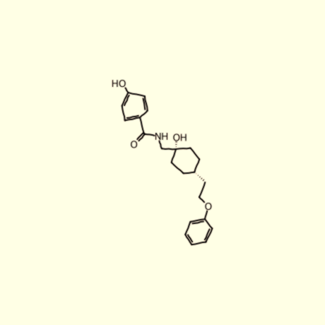 O=C(NC[C@]1(O)CC[C@@H](CCOc2ccccc2)CC1)c1ccc(O)cc1